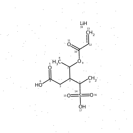 [CH2]C(C(CC(=O)O)C(C)OC(=O)C=C)S(=O)(=O)O.[LiH]